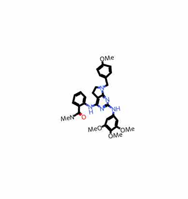 CNC(=O)c1ccccc1Nc1nc(Nc2cc(OC)c(OC)c(OC)c2)nc2c1CCN2Cc1ccc(OC)cc1